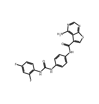 Nc1ncnc2scc(C(=O)Nc3ccc(NC(=O)Nc4ccc(F)cc4F)cc3)c12